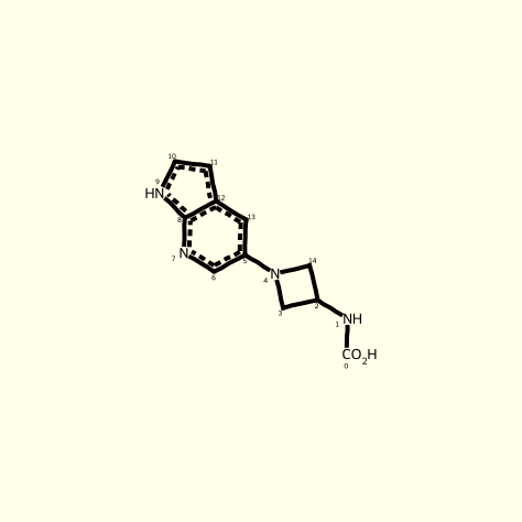 O=C(O)NC1CN(c2cnc3[nH]ccc3c2)C1